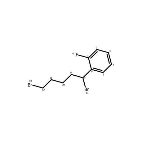 Fc1ccccc1C(Br)CCCCBr